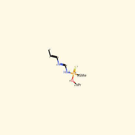 CC=CN=CNP(=S)(OCCC)SC